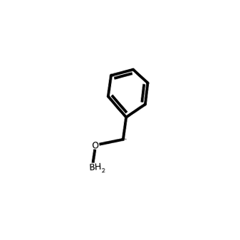 BO[CH]c1ccccc1